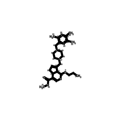 CCCOC1OC=C(C(=O)OC)C2CC=C(CN3CCN(Cc4nc(C)c(C)nc4C)CC3)C12